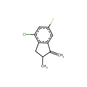 C=C1c2cc(F)cc(Cl)c2CC1C